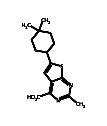 Cc1nc(C(=O)O)c2cc(C3CCC(C)(C)CC3)sc2n1